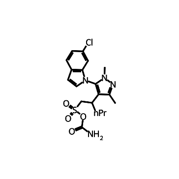 CCCC(CS(=O)(=O)OC(N)=O)c1c(C)nn(C)c1-n1ccc2ccc(Cl)cc21